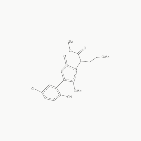 COCCC(C(=O)OC(C)(C)C)n1cc(OC)c(-c2cc(Cl)ccc2C#N)cc1=O